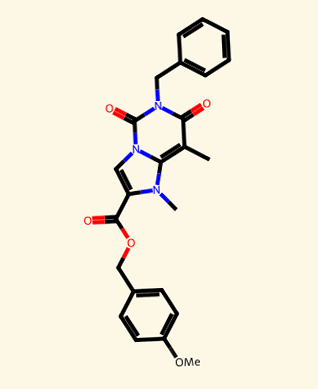 COc1ccc(COC(=O)c2cn3c(=O)n(Cc4ccccc4)c(=O)c(C)c3n2C)cc1